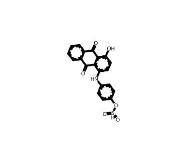 O=C1c2ccccc2C(=O)c2c(Nc3ccc(O[SH](=O)=O)cc3)ccc(O)c21